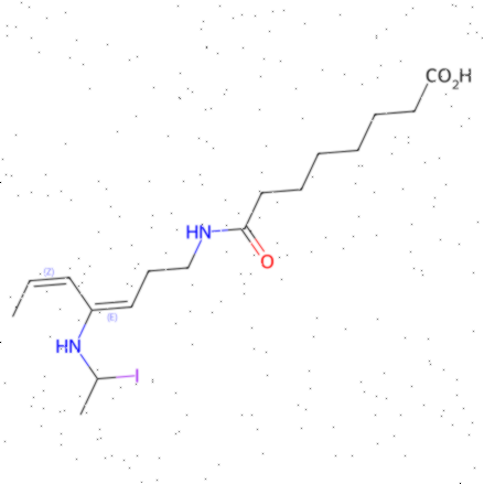 C/C=C\C(=C/CCNC(=O)CCCCCCC(=O)O)NC(C)I